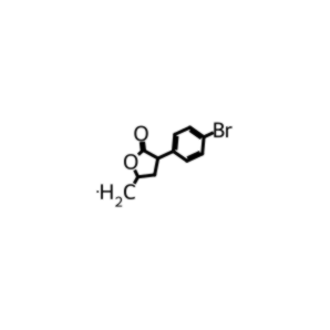 [CH2]C1CC(c2ccc(Br)cc2)C(=O)O1